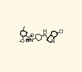 COc1ccc(C)cc1S(=O)(=O)NC1CCC(Nc2ccnc3cc(Cl)ccc23)CC1